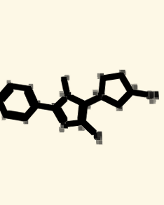 Cn1c(-c2ccccc2)nc(Cl)c1N1CCC(O)C1